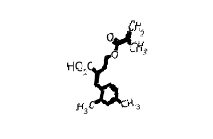 C=C(C)C(=O)OCCC(=Cc1ccc(C)cc1C)C(=O)O